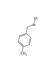 CC[N]Cc1ccc(C)cc1